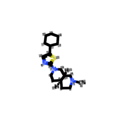 N#CN1CC[C@H]2CCN(c3ncc(C4CCCCC4)s3)C[C@@H]2C1